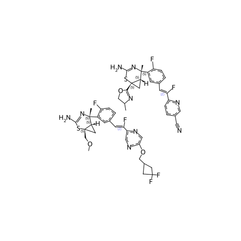 CC1COC([C@]23C[C@H]2[C@@](C)(c2cc(/C=C(\F)c4ccc(C#N)cn4)ccc2F)N=C(N)S3)=N1.COC[C@]12C[C@H]1[C@@](C)(c1cc(/C=C(\F)c3cnc(OCC4CC(F)(F)C4)cn3)ccc1F)N=C(N)S2